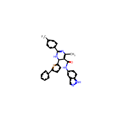 CC1=C(C(=O)Nc2ccc3[nH]ncc3c2)C(c2ccc(-c3ccccc3)s2)NC(c2ccc(C(F)(F)F)cc2)=N1